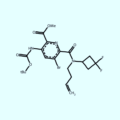 C=CCCN(C(=O)c1nc(C(=O)OC)c(NC(=O)OC(C)(C)C)cc1Br)C1CC(F)(F)C1